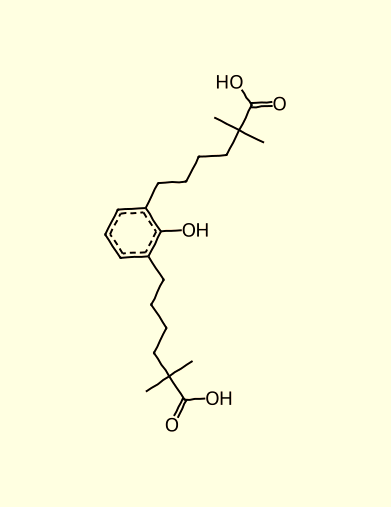 CC(C)(CCCCc1cccc(CCCCC(C)(C)C(=O)O)c1O)C(=O)O